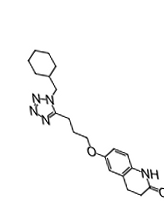 O=C1CCc2cc(OCCCc3nnnn3CC3CCCCC3)ccc2N1